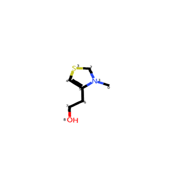 CN1CSC=C1CCO